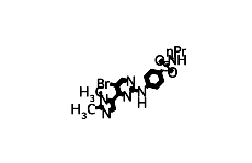 CCCNS(=O)(=O)c1ccc(Nc2ncc(Br)c(-c3cnc(C)n3C)n2)cc1